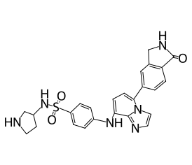 O=C1NCc2cc(-c3ccc(Nc4ccc(S(=O)(=O)NC5CCNC5)cc4)c4nccn34)ccc21